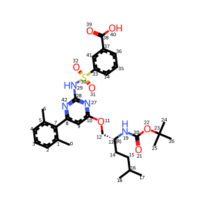 Cc1cccc(C)c1-c1cc(OC[C@@H](CCC(C)C)NC(=O)OC(C)(C)C)nc(NS(=O)(=O)c2cccc(C(=O)O)c2)n1